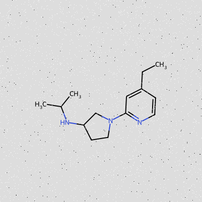 CCc1ccnc(N2CCC(NC(C)C)C2)c1